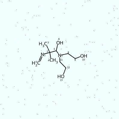 C=NC(C)(C)C(O)N(CCO)CCO